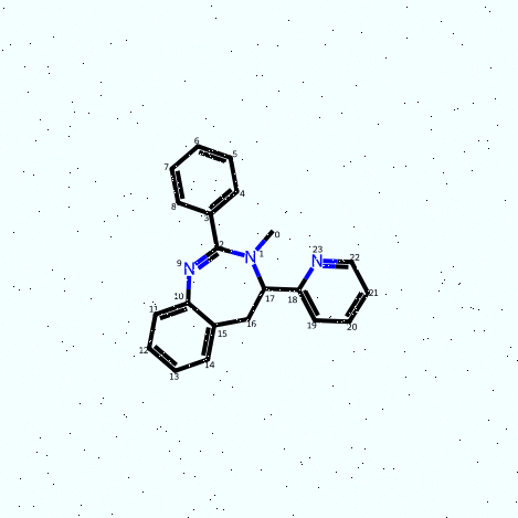 CN1C(c2ccccc2)=Nc2ccccc2CC1c1ccccn1